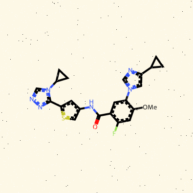 COc1cc(F)c(C(=O)Nc2csc(-c3nncn3C3CC3)c2)cc1-n1cnc(C2CC2)c1